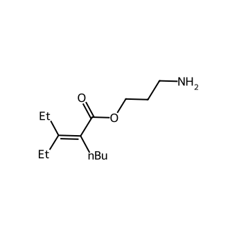 CCCCC(C(=O)OCCCN)=C(CC)CC